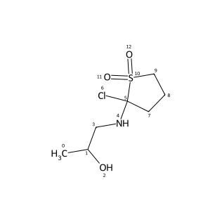 CC(O)CNC1(Cl)CCCS1(=O)=O